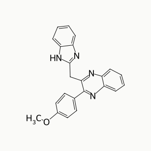 COc1ccc(-c2nc3ccccc3nc2Cc2nc3ccccc3[nH]2)cc1